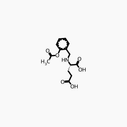 CC(=O)Oc1ccccc1CN[C@@H](CCC(=O)O)C(=O)O